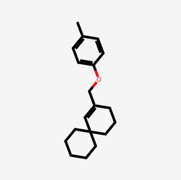 Cc1ccc(OCC2=CC3(CCCCC3)CCC2)cc1